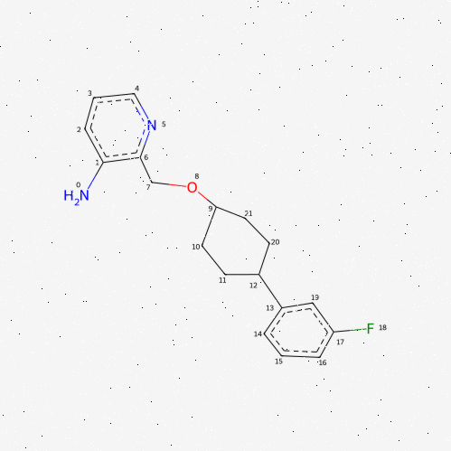 Nc1cccnc1COC1CCC(c2cccc(F)c2)CC1